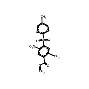 C=NC(=O)c1cc([N+](=O)[O-])c(S(=O)(=O)c2ccc(C)cc2)cc1C